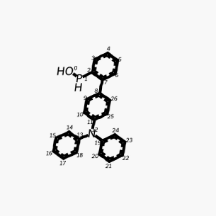 OPc1ccccc1-c1ccc(N(c2ccccc2)c2ccccc2)cc1